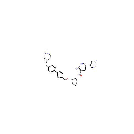 Cn1cc(-c2cnc(N)c(C(=O)N[C@H]3CCC[C@@H]3OCc3ccc(-c4ccc(CC5CCNCC5)cc4)cc3)c2)cn1